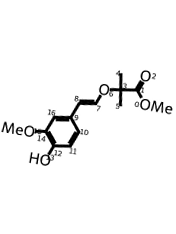 COC(=O)C(C)(C)OC=Cc1ccc(O)c(OC)c1